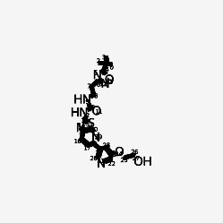 CC(C)(C)c1nc(CCNC(=O)Nc2nc3ccc(-c4cncc(OCCO)c4)nc3s2)no1